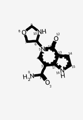 NC(=O)c1cn(C2COCN2)c(=O)c2cc[nH]c12